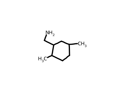 CC1CCC(C)C(CN)C1